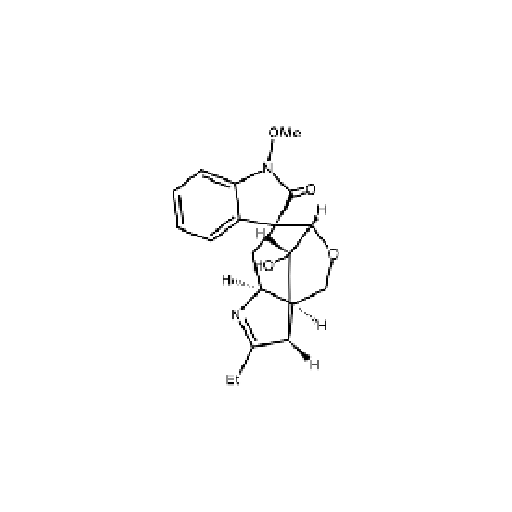 CCC1=N[C@H]2C[C@@]3(C(=O)N(OC)c4ccccc43)[C@@H]3OC[C@H]2[C@H]1[C@@H]3O